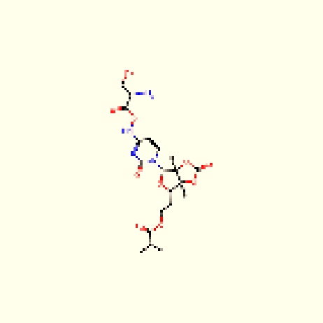 CC(C)C(=O)OCC[C@H]1O[C@@H](n2ccc(NOC(=O)[C@H](N)CO)nc2=O)[C@@H]2OC(=O)O[C@@H]21